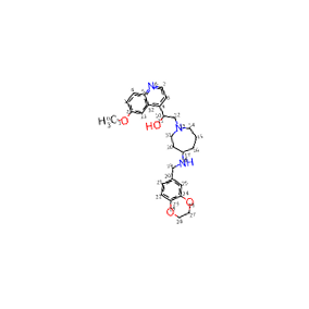 COc1ccc2nccc(C(O)CN3CCCC(NCc4ccc5c(c4)OCCO5)CC3)c2c1